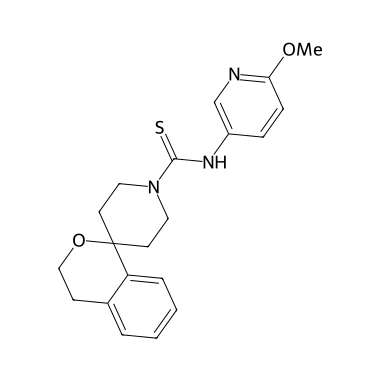 COc1ccc(NC(=S)N2CCC3(CC2)OCCc2ccccc23)cn1